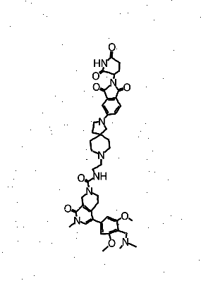 COc1cc(-c2cn(C)c(=O)c3c2CCN(C(=O)NCCN2CCC4(CC2)CCN(c2ccc5c(c2)C(=O)N(C2CCC(=O)NC2=O)C5=O)C4)C3)cc(OC)c1CN(C)C